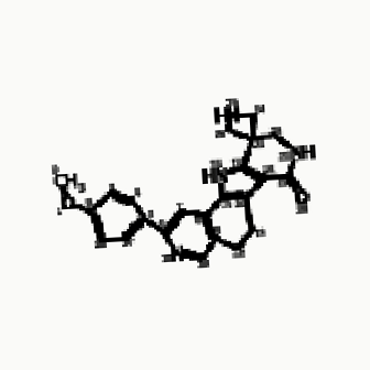 COc1ccc(-c2cc3c(cn2)CCc2c-3[nH]c3c2C(=O)NCC32CNC2)cc1